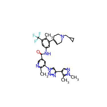 Cc1ncc(C(=O)Nc2cc(C3=CCN(CC4CC4)CC3)c(C)c(C(F)(F)F)c2)cc1-n1cc(-c2cnn(C)c2C)nn1